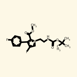 COC(=O)c1c(-c2ccc(F)cc2)c(I)cn1CCNC(=O)OC(C)(C)C